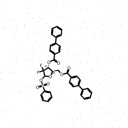 O=C(OC[C@H]1OC(OS(=O)(=O)c2ccccc2)C(F)(F)[C@@H]1OC(=O)c1ccc(-c2ccccc2)cc1)c1ccc(-c2ccccc2)cc1